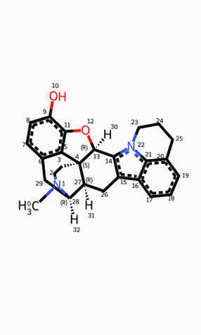 CN1CC[C@]23c4c5ccc(O)c4O[C@H]2c2c(c4cccc6c4n2CCC6)C[C@H]3[C@H]1C5